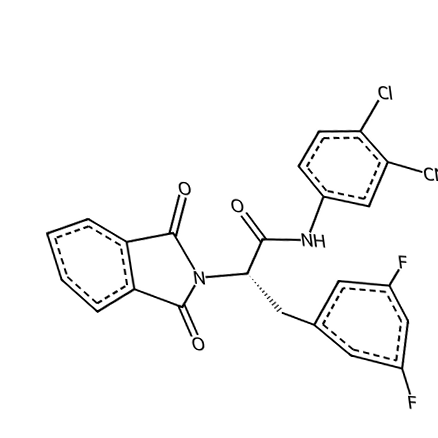 N#Cc1cc(NC(=O)[C@H](Cc2cc(F)cc(F)c2)N2C(=O)c3ccccc3C2=O)ccc1Cl